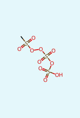 CS(=O)(=O)OOS(=O)(=O)OS(=O)(=O)O